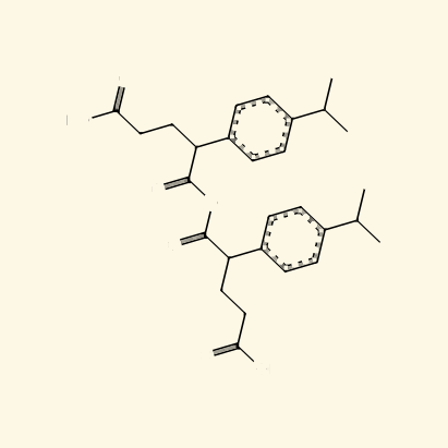 CC(C)c1ccc(C(CCC(=O)O)C(=O)OC(=O)C(CCC(=O)O)c2ccc(C(C)C)cc2)cc1